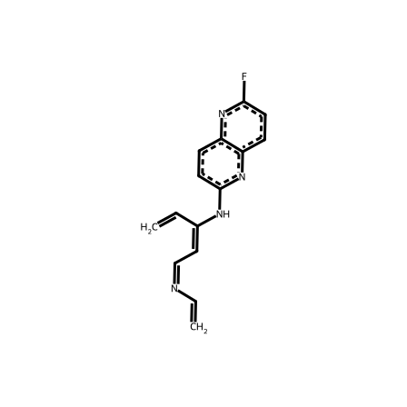 C=C/N=C\C=C(/C=C)Nc1ccc2nc(F)ccc2n1